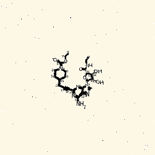 CCNC(=O)[C@H]1O[C@@H](n2cnc3c(N)nc(C#CCC4CCN(C(=O)OCC)CC4)nc32)[C@@H](O)[C@@H]1O